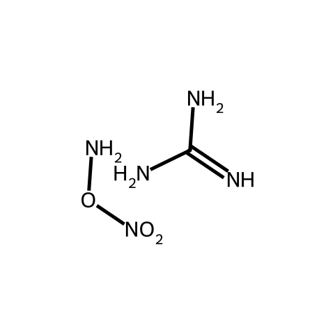 N=C(N)N.NO[N+](=O)[O-]